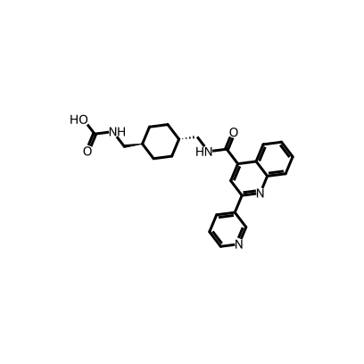 O=C(O)NC[C@H]1CC[C@H](CNC(=O)c2cc(-c3cccnc3)nc3ccccc23)CC1